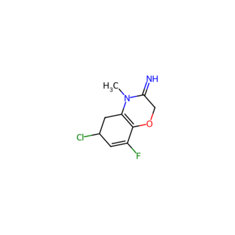 CN1C(=N)COC2=C1CC(Cl)C=C2F